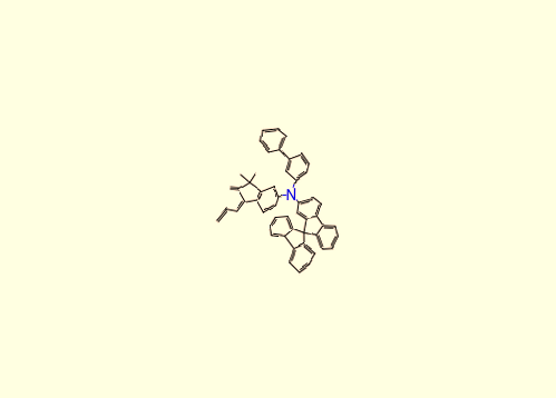 C=C/C=C1\C(=C)C(C)(C)c2cc(N(c3cccc(-c4ccccc4)c3)c3ccc4c(c3)C3(c5ccccc5-c5ccccc53)c3ccccc3-4)ccc21